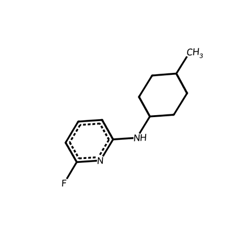 CC1CCC(Nc2cccc(F)n2)CC1